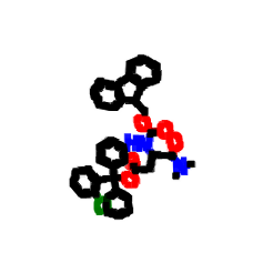 CN(C)C(=O)C(CC(=O)OC(c1ccccc1)(c1ccccc1)c1ccccc1Cl)NC(=O)OCC1c2ccccc2-c2ccccc21